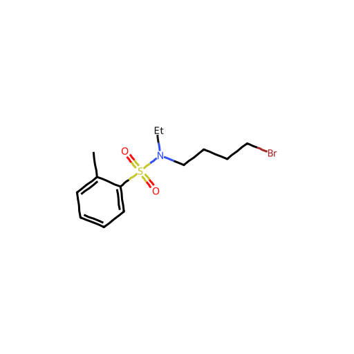 CCN(CCCCBr)S(=O)(=O)c1ccccc1C